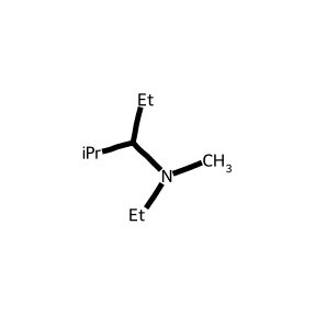 CCC(C(C)C)N(C)CC